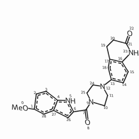 COc1ccc2[nH]c(C(=O)N3CCN(c4ccc5c(c4)CCC(=O)N5)CC3)cc2c1